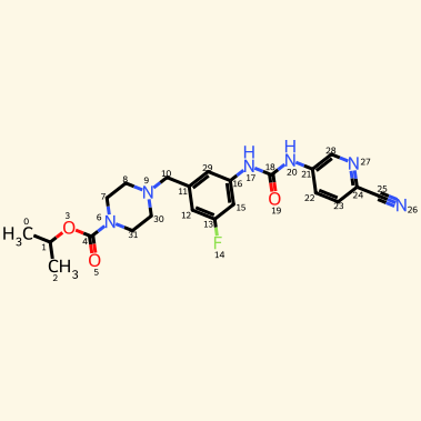 CC(C)OC(=O)N1CCN(Cc2cc(F)cc(NC(=O)Nc3ccc(C#N)nc3)c2)CC1